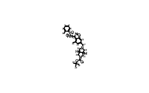 Cc1ccccc1S(=O)(=O)Nc1noc2cc(CN3C[C@@H]4CN(C(=O)OC(C)(C)C)C[C@@H]4C3)cc(C)c12